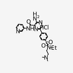 CCN(CCN(C)C)S(=O)(=O)c1ccc(-c2cnc(N)c(C(=O)Nc3cccnc3)n2)cc1.Cl